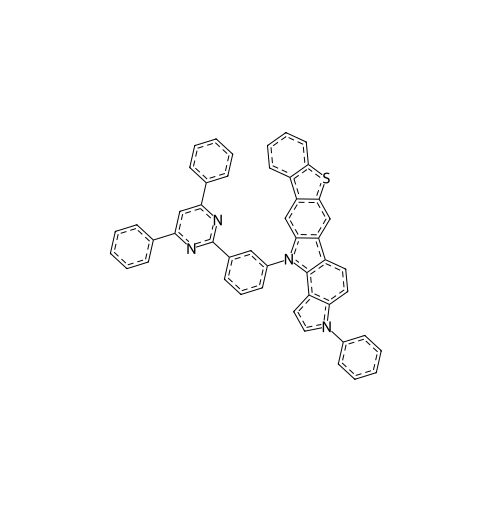 c1ccc(-c2cc(-c3ccccc3)nc(-c3cccc(-n4c5cc6c(cc5c5ccc7c(ccn7-c7ccccc7)c54)sc4ccccc46)c3)n2)cc1